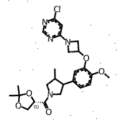 COc1ccc(C2CN(C(=O)[C@@H]3COC(C)(C)O3)CC2C)cc1OC1CN(c2cc(Cl)ncn2)C1